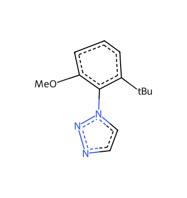 COc1cccc(C(C)(C)C)c1-n1ccnn1